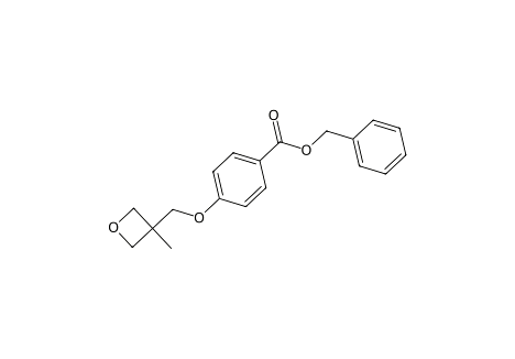 CC1(COc2ccc(C(=O)OCc3ccccc3)cc2)COC1